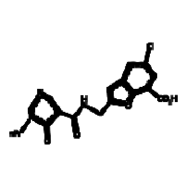 CCCn1cncc(C(=O)NCc2cc3cc(Cl)cc(C(=O)O)c3o2)c1=O